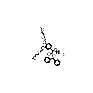 COCCOCOc1ccc(C(ON)C(=O)OC(c2ccccc2)c2ccccc2)cc1OCOCCOC